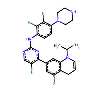 CC(C)N1C=CCc2c(F)cc(-c3nc(Nc4ccc(N5CCNCC5)c(F)c4F)ncc3F)cc21